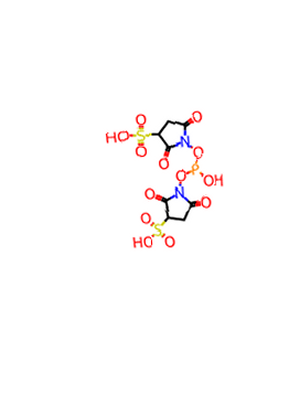 O=C1CC(S(=O)(=O)O)C(=O)N1OP(O)ON1C(=O)CC(S(=O)(=O)O)C1=O